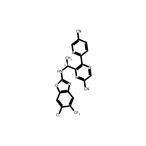 C[C@H](Nc1nc2cc(C(F)(F)F)c(Cl)cc2o1)c1nc(C#N)cnc1-c1ccc(C#N)cn1